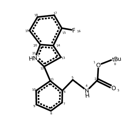 CC(C)(C)OC(=O)NCc1ccccc1-c1cc2c(F)cccc2[nH]1